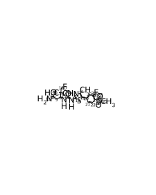 Cc1nc(NC(=O)NC(CC(N)=O)C(C)(C)CF)sc1-c1ccc(S(C)(=O)=O)c(F)c1